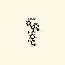 COc1cc(-c2cc(C(=O)N[C@H]3CC[C@H](NC(=O)[C@@H](C)N)CC3)c3c(N)ncnn23)ccn1